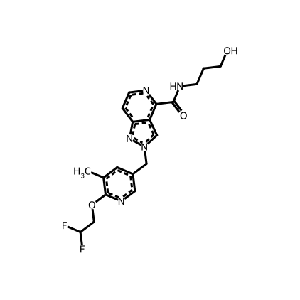 Cc1cc(Cn2cc3c(C(=O)NCCCO)nccc3n2)cnc1OCC(F)F